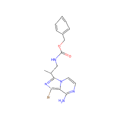 CC(CNC(=O)OCc1ccccc1)c1nc(Br)c2c(N)nccn12